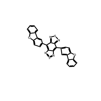 c1ccc2c(c1)oc1ccc(-c3c4c(c(-c5ccc6oc7ccccc7c6c5)c5nsnc35)N=S=N4)cc12